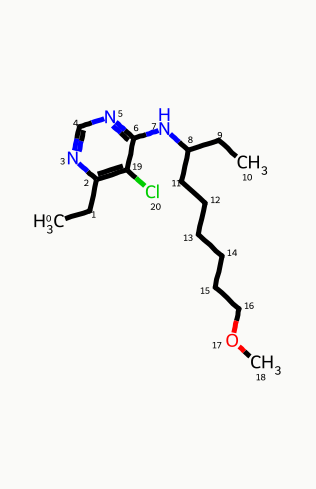 CCc1ncnc(NC(CC)CCCCCCOC)c1Cl